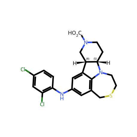 O=C(O)N1CC[C@H]2[C@@H](C1)c1cc(Nc3ccc(Cl)cc3Cl)cc3c1N2CCSC3